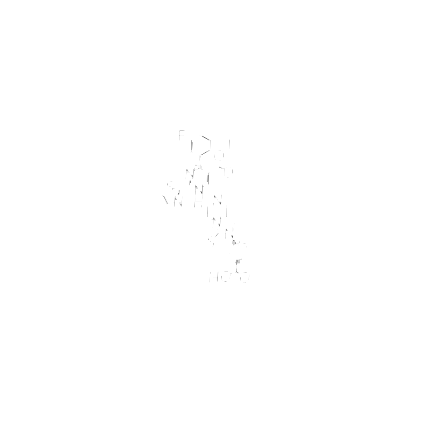 CCOC(=O)C1=C(CN2CCN3C(=S)N([C@H]4CC[C@@H](C(=O)O)C4)CC3C2)NC(c2nccs2)=N[C@H]1c1cccc(F)c1C